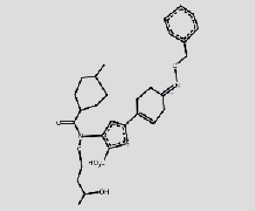 CC(O)CCCN(C(=O)C1CCC(C)CC1)c1cc(C2=CC/C(=N/OCc3ccccc3)CC2)sc1C(=O)O